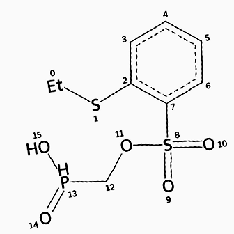 CCSc1ccccc1S(=O)(=O)OC[PH](=O)O